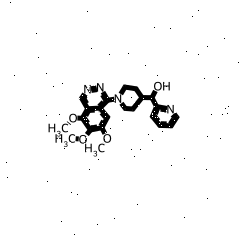 COc1cc2c(N3CCC(C(O)c4ccccn4)CC3)nncc2c(OC)c1OC